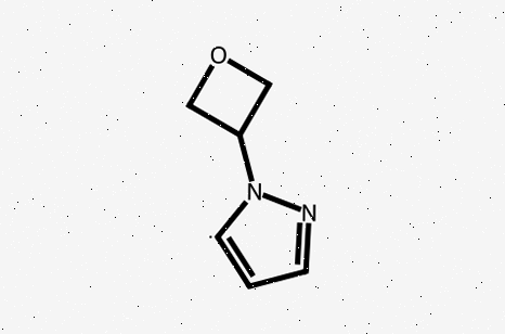 [c]1ccnn1C1COC1